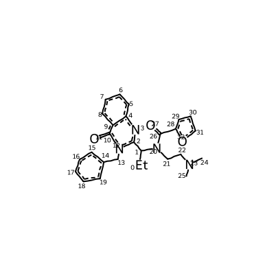 CCC(c1nc2ccccc2c(=O)n1Cc1ccccc1)N(CCN(C)C)C(=O)c1ccco1